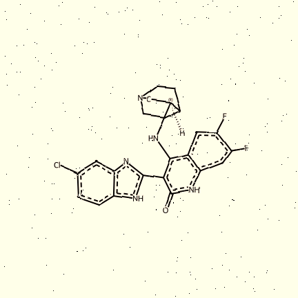 O=c1[nH]c2cc(F)c(F)cc2c(N[C@H]2CN3CCC2CC3)c1-c1nc2cc(Cl)ccc2[nH]1